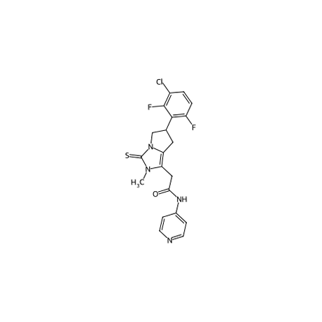 Cn1c(CC(=O)Nc2ccncc2)c2n(c1=S)CC(c1c(F)ccc(Cl)c1F)C2